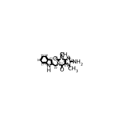 Cn1c(N)nc2c1c(=O)n(Cc1cc3ccccc3[nH]1)c(=O)n2C